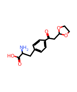 NC(Cc1ccc(C(=O)CC2OCCO2)cc1)C(=O)O